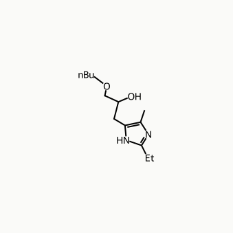 CCCCOCC(O)Cc1[nH]c(CC)nc1C